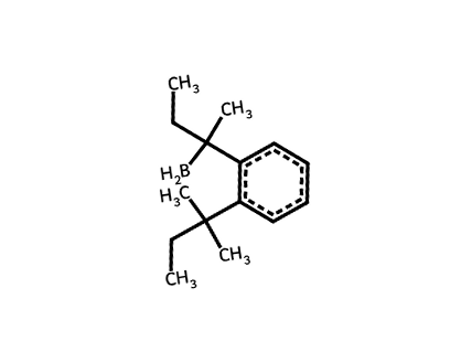 BC(C)(CC)c1ccccc1C(C)(C)CC